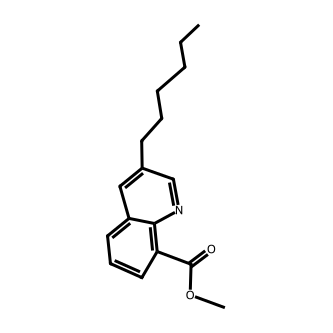 CCCCCCc1cnc2c(C(=O)OC)cccc2c1